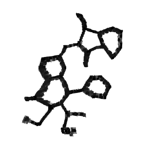 CC(C)Cn1c(N(C)C(=O)O)c(-c2ccccc2)c2cc(CN3C(=O)c4ccccc4C3=O)ccc2c1=O